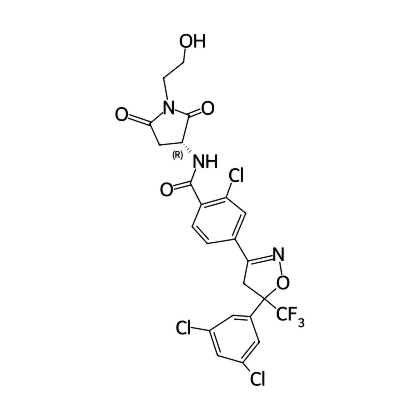 O=C(N[C@@H]1CC(=O)N(CCO)C1=O)c1ccc(C2=NOC(c3cc(Cl)cc(Cl)c3)(C(F)(F)F)C2)cc1Cl